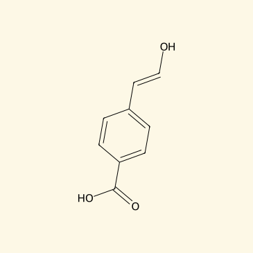 O=C(O)c1ccc(/C=C/O)cc1